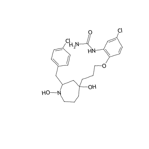 NC(=O)Nc1cc(Cl)ccc1OCCCC1(O)CCCN(O)C(Cc2ccc(Cl)cc2)C1